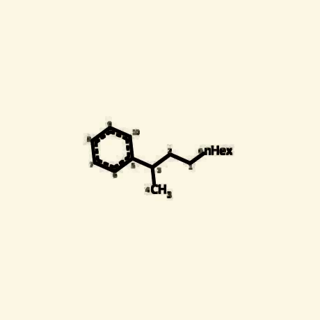 [CH2]CCCCCCCC(C)c1ccccc1